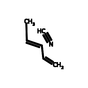 C#N.C=CC=CC